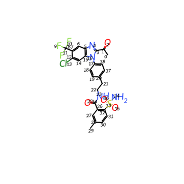 CC(=O)c1nc2cc(C(F)(F)F)c(Cl)cc2n1-c1ccc(CCNC(=O)c2cc(C)ccc2S(N)(=O)=O)cc1